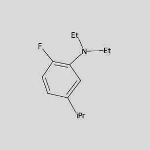 CCN(CC)c1cc(C(C)C)ccc1F